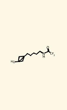 O=C(NCCCCCC12CC(O)(C1)C2)C(F)(F)F